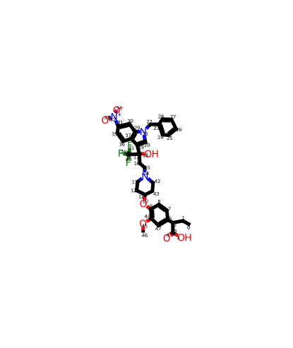 CCC(C(=O)O)c1ccc(OC2CCN(CCC(O)(c3cn(Cc4ccccc4)c4cc([N+](=O)[O-])ccc34)C(F)(F)F)CC2)c(OC)c1